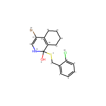 OC1(SCc2ccccc2Cl)NC=C(Br)C2=C1CCCC2